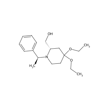 CCOC1(OCC)CCN([C@@H](C)c2ccccc2)[C@H](CO)C1